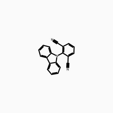 N#Cc1cccc(C#N)c1-n1c2ccccc2c2ccccc21